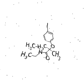 CCN(CC)C(=O)C(C)(C)Oc1ccc(I)cc1